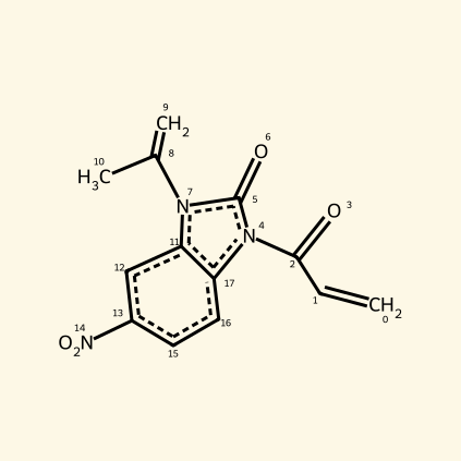 C=CC(=O)n1c(=O)n(C(=C)C)c2cc([N+](=O)[O-])ccc21